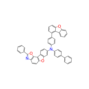 c1ccc(-c2ccc(N(c3ccc(-c4cccc5oc6ccccc6c45)cc3)c3ccc4c(c3)oc3ccc5nc(-c6ccccc6)oc5c34)cc2)cc1